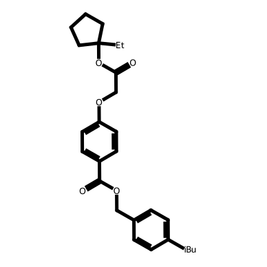 CCC(C)c1ccc(COC(=O)c2ccc(OCC(=O)OC3(CC)CCCC3)cc2)cc1